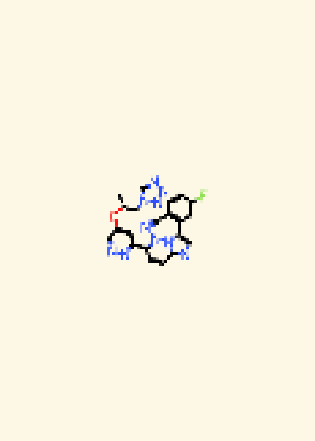 C[C@@H](Cn1cnnn1)Oc1cnnc(-c2ccc3ncc(-c4cc(F)ccc4C#N)n3n2)c1